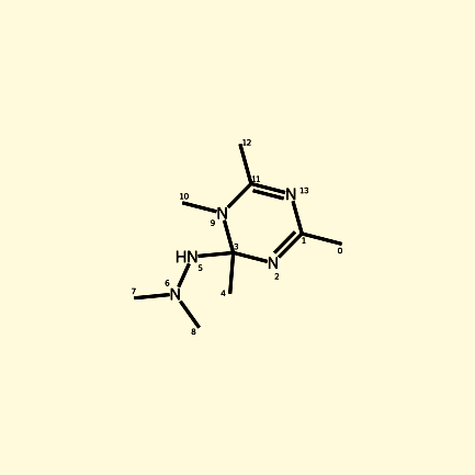 CC1=NC(C)(NN(C)C)N(C)C(C)=N1